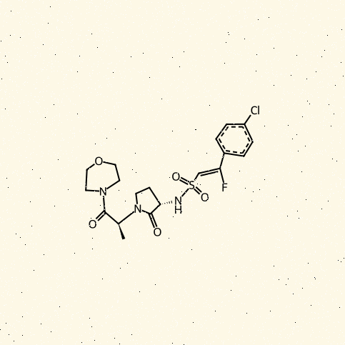 C[C@@H](C(=O)N1CCOCC1)N1CC[C@H](NS(=O)(=O)/C=C(\F)c2ccc(Cl)cc2)C1=O